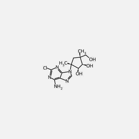 C[C@]1(CO)C[C@@](C)(n2cnc3c(N)nc(Cl)nc32)[C@H](O)[C@@H]1O